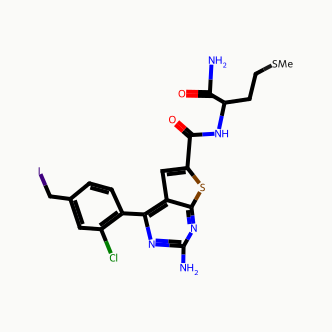 CSCCC(NC(=O)c1cc2c(-c3ccc(CI)cc3Cl)nc(N)nc2s1)C(N)=O